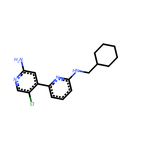 Nc1cc(-c2cccc(NCC3CCCCC3)n2)c(Cl)cn1